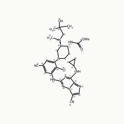 COC(=O)N[C@@H]1CCN(c2cc(C#N)cc(Nc3nc(NC4CC4)c4ncc(C#N)n4n3)c2Cl)C[C@H]1N(C)CC(C)(C)O